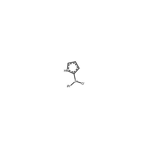 CC(C)[S+]([O-])c1[c]cc[nH]1